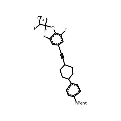 CCCCCc1ccc(C2CCC(C#Cc3cc(F)c(OC(F)(F)C(F)C(F)(F)F)c(F)c3)CC2)cc1